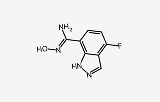 NC(=NO)c1ccc(F)c2cn[nH]c12